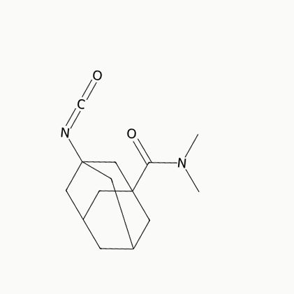 CN(C)C(=O)C12CC3CC(CC(N=C=O)(C3)C1)C2